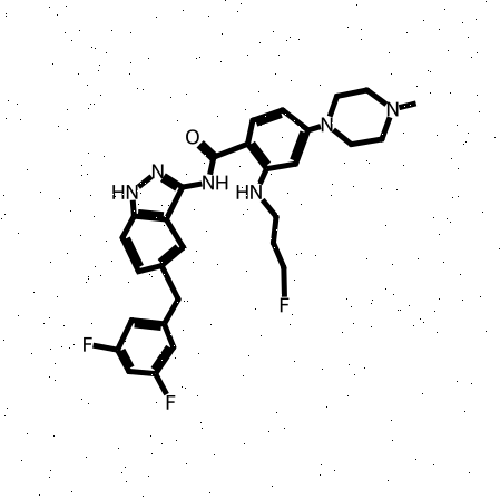 CN1CCN(c2ccc(C(=O)Nc3n[nH]c4ccc(Cc5cc(F)cc(F)c5)cc34)c(NCCCF)c2)CC1